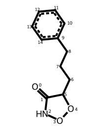 O=C1NOOC1CCCc1ccccc1